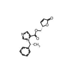 C[C@H](c1ccccc1)n1cncc1C(=O)OC[C@@H]1C=CC(=O)O1